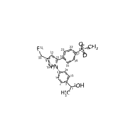 CC(O)c1ccc(-n2nc(CF)cc2-c2ccc(S(C)(=O)=O)cc2)cc1